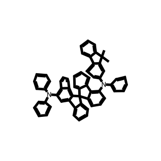 CC1(C)c2ccccc2-c2ccc(N(c3ccccc3)c3cccc4c3-c3ccccc3C43c4ccccc4-c4cc(N(c5ccccc5)c5ccccc5)c5ccccc5c43)cc21